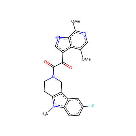 COc1ncc(OC)c2c(C(=O)C(=O)N3CCc4c(c5cc(F)ccc5n4C)C3)c[nH]c12